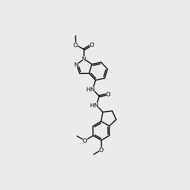 COC(=O)n1ncc2c(NC(=O)NC3CCc4cc(OC)c(OC)cc43)cccc21